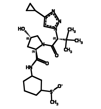 C[S+]([O-])C1CCCC(NC(=O)[C@H]2C[C@H](O)CN2C(=O)[C@H](n2cc(C3CC3)nn2)C(C)(C)C)C1